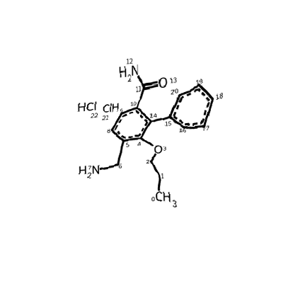 CCCOc1c(CN)ccc(C(N)=O)c1-c1ccccc1.Cl.Cl